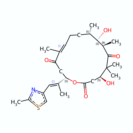 C/C1=C\CC[C@H](C)[C@H](O)[C@@H](C)C(=O)C(C)(C)[C@@H](O)CC(=O)O[C@H](/C(C)=C/c2csc(C)n2)CC1=O